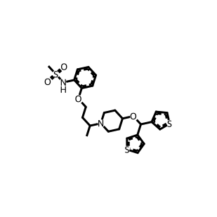 CC(CCOc1ccccc1NS(C)(=O)=O)N1CCC(OC(c2ccsc2)c2ccsc2)CC1